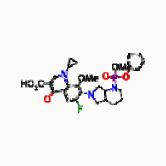 COc1c(N2CC3CCCN(P(=O)(OC)Oc4ccccc4)C3C2)c(F)cc2c(=O)c(C(=O)O)cn(C3CC3)c12